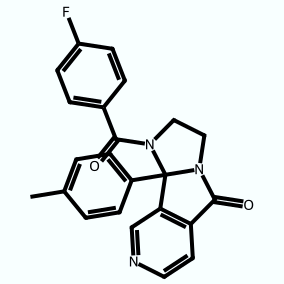 Cc1ccc(C23c4cnccc4C(=O)N2CCN3C(=O)c2ccc(F)cc2)cc1